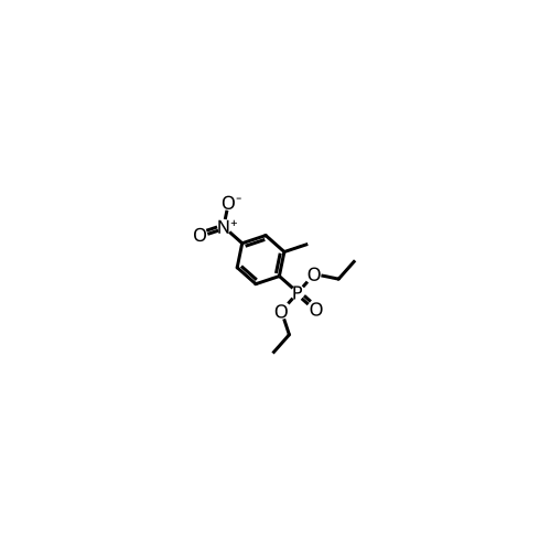 CCOP(=O)(OCC)c1ccc([N+](=O)[O-])cc1C